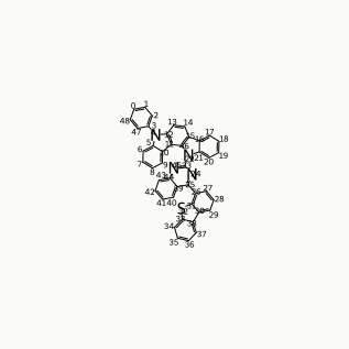 c1ccc(-n2c3ccccc3c3c2ccc2c4ccccc4n(-c4nc(-c5cccc6c5sc5ccccc56)c5ccccc5n4)c23)cc1